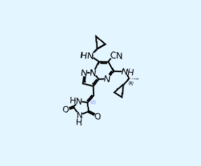 C[C@@H](Nc1nc2c(/C=C3\NC(=O)NC3=O)cnn2c(NC2CC2)c1C#N)C1CC1